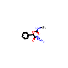 CC(C)(C)NC(=O)OC(C(=O)NN)c1ccccc1